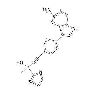 CC(O)(C#Cc1ccc(-c2c[nH]c3cnc(N)nc23)cc1)c1nccs1